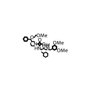 COCCO[C@@H](c1ccccc1)[C@@H]1CCCN(c2c(N[C@@H](CC3CCCCC3)[C@H](O)CNCc3cc(OC)cc(OC)c3)c(=O)c2=O)C1